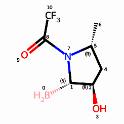 B[C@H]1[C@H](O)C[C@@H](C)N1C(=O)C(F)(F)F